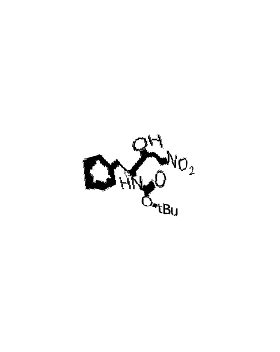 CC(C)(C)OC(=O)N[C@@H](Cc1ccccc1)C(O)C[N+](=O)[O-]